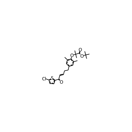 Cc1cc(CC/C=C/C(=O)c2ccc(Cl)s2)cc(C)c1OC(C)(C)C(=O)OC(C)(C)C